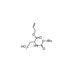 C=CCOC(=O)C(CC(=O)O)NC(=O)OC(C)(C)C